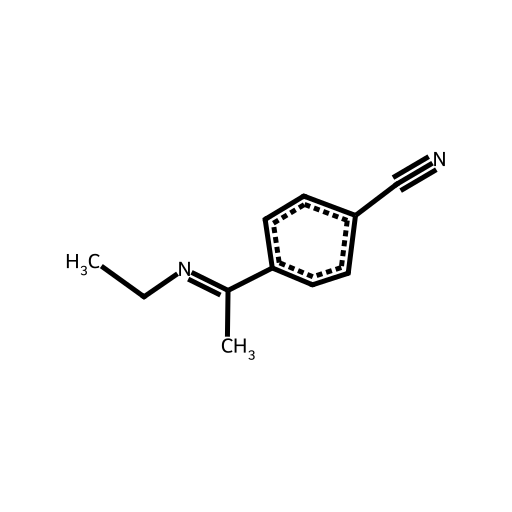 CC/N=C(\C)c1ccc(C#N)cc1